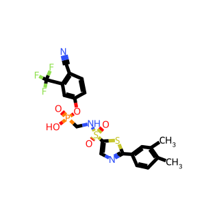 Cc1ccc(-c2ncc(S(=O)(=O)NCP(=O)(O)Oc3ccc(C#N)c(C(F)(F)F)c3)s2)cc1C